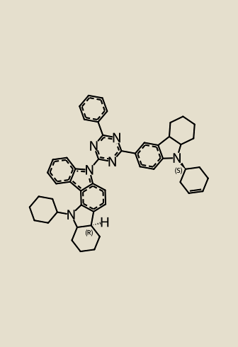 C1=CC[C@@H](N2c3ccc(-c4nc(-c5ccccc5)nc(-n5c6ccccc6c6c7c(ccc65)[C@H]5CCCCC5N7C5CCCCC5)n4)cc3C3CCCCC32)CC1